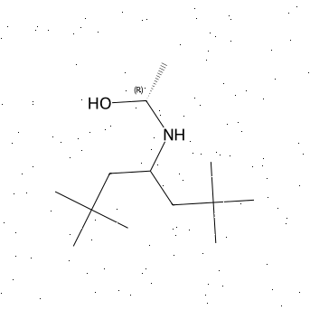 C[C@@H](O)NC(CC(C)(C)C)CC(C)(C)C